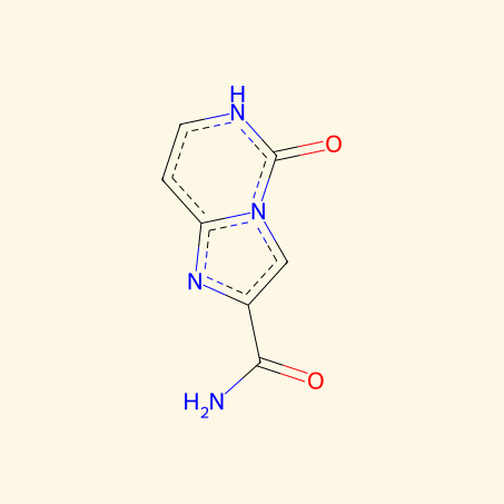 NC(=O)c1cn2c(=O)[nH]ccc2n1